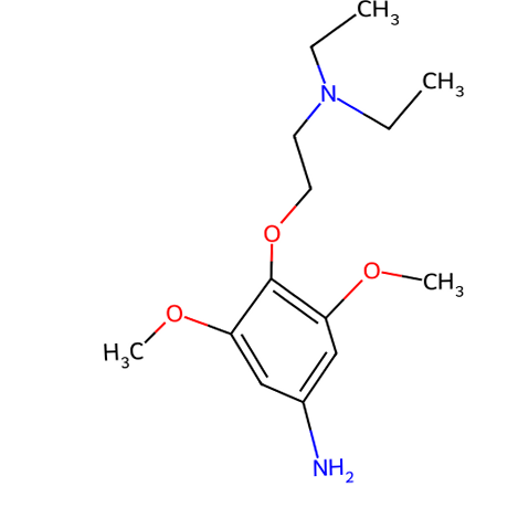 CCN(CC)CCOc1c(OC)cc(N)cc1OC